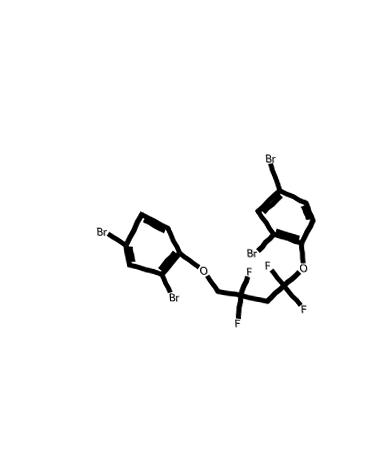 FC(F)(COc1ccc(Br)cc1Br)CC(F)(F)Oc1ccc(Br)cc1Br